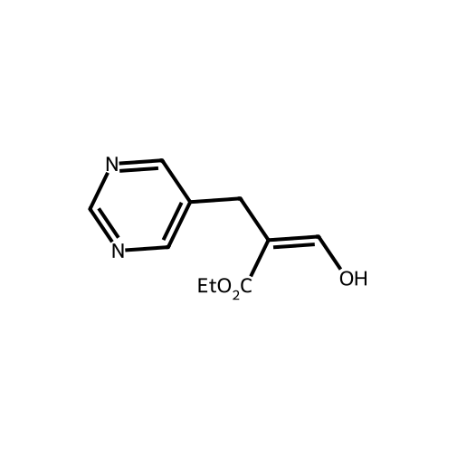 CCOC(=O)/C(=C\O)Cc1cncnc1